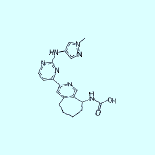 Cn1cc(Nc2nccc(-c3cc4c(cn3)C(NC(=O)O)CCCC4)n2)cn1